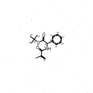 C=C(C)C(=O)NC(C(=O)OC(C)(C)C)c1ccccc1